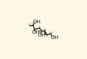 CC(O)C(O)CC(O)C=CCO